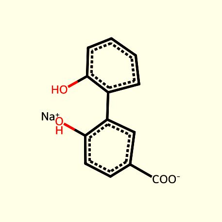 O=C([O-])c1ccc(O)c(-c2ccccc2O)c1.[Na+]